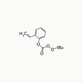 C=Cc1ccccc1OC(=O)OOC(C)(C)C